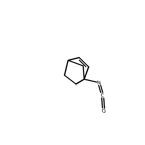 O=C=NC12[CH]CC(C=C1)C2